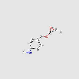 CNc1ccc(COC2OC2C)cc1